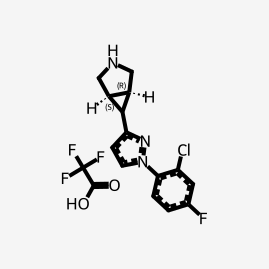 Fc1ccc(-n2ccc(C3[C@H]4CNC[C@@H]34)n2)c(Cl)c1.O=C(O)C(F)(F)F